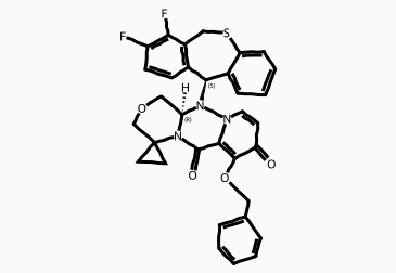 O=C1c2c(OCc3ccccc3)c(=O)ccn2N([C@@H]2c3ccccc3SCc3c2ccc(F)c3F)[C@@H]2COCC3(CC3)N12